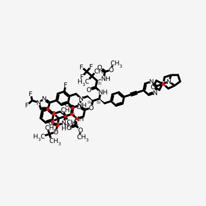 COC(=O)N[C@H](C(=O)N[C@@H](Cc1ccc(C#Cc2cnc(N3CC4CCC(C3)N4C3COC3)nc2)cc1)[C@H](CN(Cc1c(F)cc(-c2ccn(C(F)F)n2)cc1F)NC(=O)[C@@H](NC(=O)OC)C(C)(C)C(F)(F)F)OC(=O)CN(C)C(=O)[C@H](Cc1ccccc1)NC(=O)OC(C)(C)C)C(C)(C)C(F)(F)F